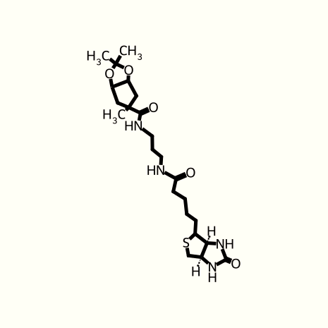 CC1(C)OC2CC(C)(C(=O)NCCCNC(=O)CCCCC3SC[C@@H]4NC(=O)N[C@H]34)CC2O1